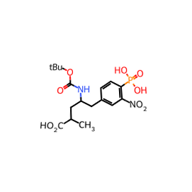 CC(CC(Cc1ccc(P(=O)(O)O)c([N+](=O)[O-])c1)NC(=O)OC(C)(C)C)C(=O)O